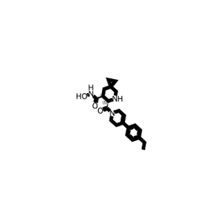 CCc1ccc(C2=CCN(C(=O)[C@H]3NCC4(CC4)C[C@@H]3C(=O)NO)CC2)cc1